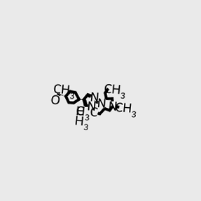 CCC1CN(C)CC(CC)N1c1ncc([C@H]2CC[C@@H](C(C)=O)CC2)c(C)n1